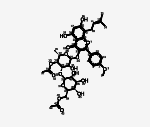 COc1ccc(-c2oc3c(CC=C(C)C)c(O)cc(O)c3c(=O)c2O[C@@H]2O[C@@H](C)[C@H](OC(C)=O)[C@@H](O[C@@H]3O[C@H](COC(C)=O)[C@@H](O)[C@H](O)[C@H]3O)[C@H]2O)cc1